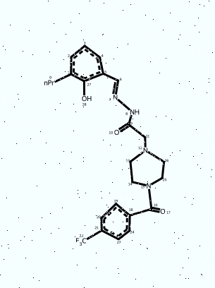 CCCc1cccc(C=NNC(=O)CN2CCN(C(=O)c3ccc(C(F)(F)F)cc3)CC2)c1O